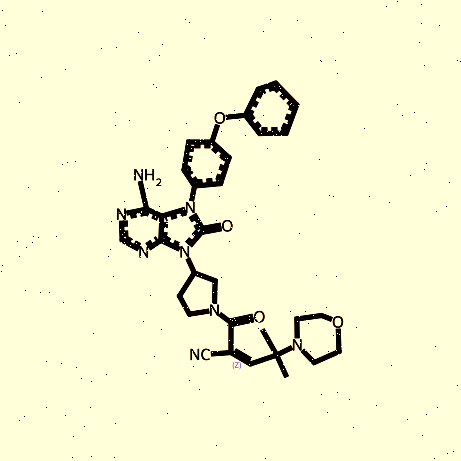 CC(C)(/C=C(/C#N)C(=O)N1CCC(n2c(=O)n(-c3ccc(Oc4ccccc4)cc3)c3c(N)ncnc32)C1)N1CCOCC1